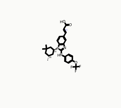 C[C@H]1C[C@H](n2c(Nc3ccc(OC(F)(F)F)cc3)nc3cc(/C=C/C(=O)O)ccc32)CC(C)(C)C1